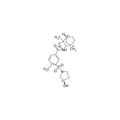 Cc1ccc(C(=O)NC2C(C)(C)[C@@H]3CC[C@]2(C)C3)cc1S(=O)(=O)N1CC[C@@H](O)C1